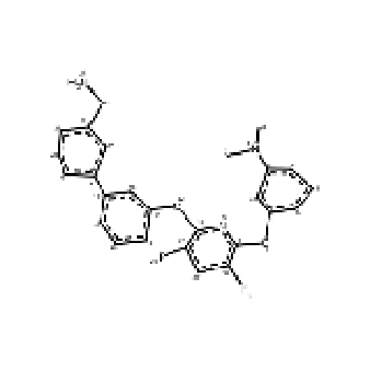 CN(C)c1cccc(Oc2nc(Oc3cccc(-c4cccc(CN)c4)c3)c(F)cc2F)c1